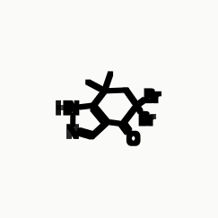 CC1(C)CC(Br)(Br)C(=O)c2cn[nH]c21